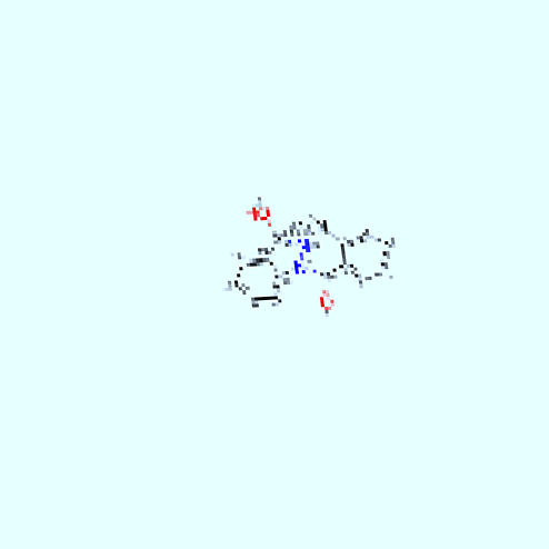 CNc1ccccc1C(=O)n1nc(O)c2ccccc21